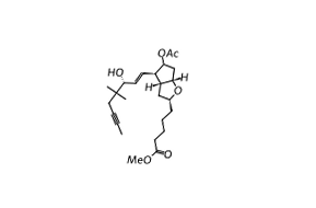 CC#CCC(C)(C)[C@H](O)C=C[C@H]1C(OC(C)=O)C[C@@H]2O[C@@H](CCCCC(=O)OC)C[C@@H]21